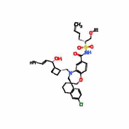 C=CCC[C@H](COCC)S(=O)(=O)NC(=O)c1ccc2c(c1)N(C[C@@H]1CC[C@H]1[C@@H](O)/C=C/CCC)C[C@@]1(CCCc3cc(Cl)ccc31)CO2